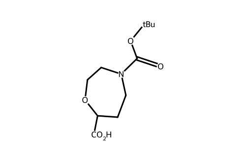 CC(C)(C)OC(=O)N1CCOC(C(=O)O)CC1